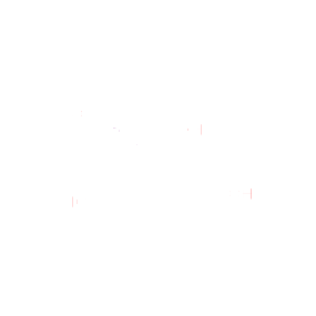 O=[PH2]C(O)C=C(O)O